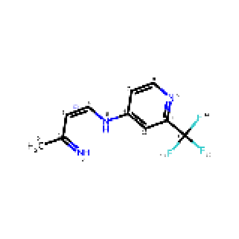 CC(=N)/C=C\Nc1ccnc(C(F)(F)F)c1